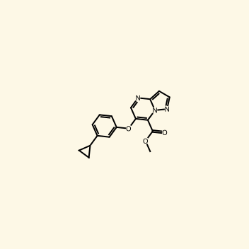 COC(=O)c1c(Oc2cccc(C3CC3)c2)cnc2ccnn12